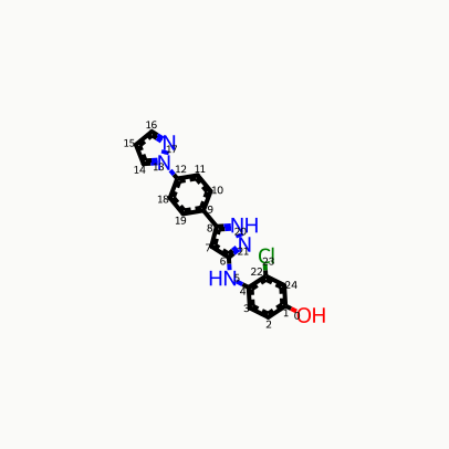 Oc1ccc(Nc2cc(-c3ccc(-n4cccn4)cc3)[nH]n2)c(Cl)c1